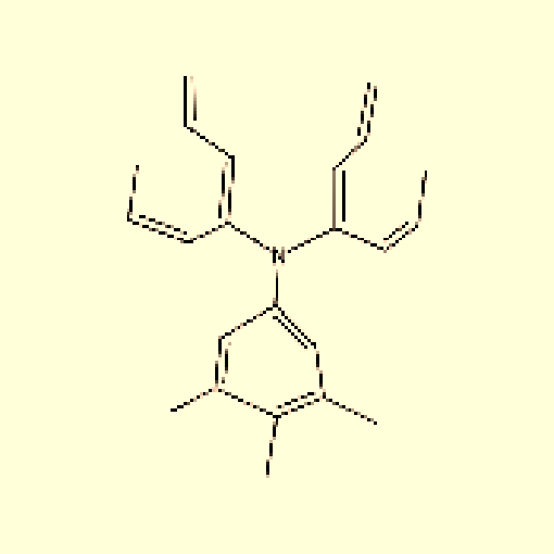 C=C/C=C(\C=C/C)N(C(/C=C\C)=C/C=C)c1cc(C)c(C)c(C)c1